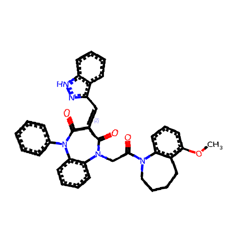 COc1cccc2c1CCCCN2C(=O)CN1C(=O)/C(=C/c2n[nH]c3ccccc23)C(=O)N(c2ccccc2)c2ccccc21